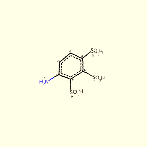 Nc1ccc(S(=O)(=O)O)c(S(=O)(=O)O)c1S(=O)(=O)O